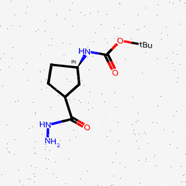 CC(C)(C)OC(=O)N[C@@H]1CCC(C(=O)NN)C1